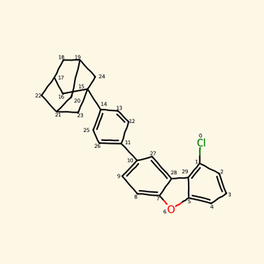 Clc1cccc2oc3ccc(-c4ccc(C56CC7CC(CC(C7)C5)C6)cc4)cc3c12